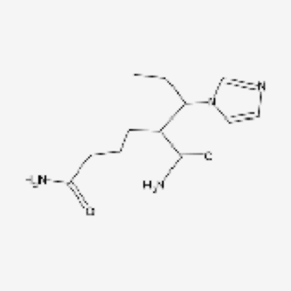 CCC(C(CCCC(N)=O)C(N)=O)n1ccnc1